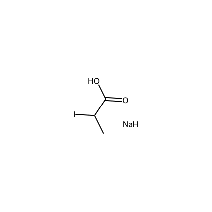 CC(I)C(=O)O.[NaH]